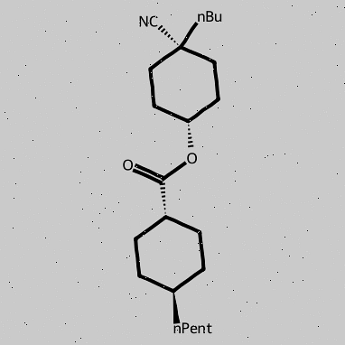 CCCCC[C@H]1CC[C@H](C(=O)O[C@H]2CC[C@](C#N)(CCCC)CC2)CC1